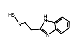 SSCCc1nc2ccccc2[nH]1